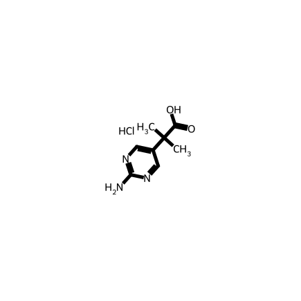 CC(C)(C(=O)O)c1cnc(N)nc1.Cl